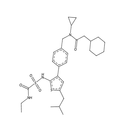 CCNC(=O)S(=O)(=O)Nc1sc(CC(C)C)cc1-c1ccc(CN(C(=O)CC2CCCCC2)C2CC2)cc1